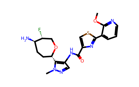 COc1ncccc1-c1nc(C(=O)Nc2cnn(C)c2[C@@H]2CC[C@@H](N)[C@H](F)CO2)cs1